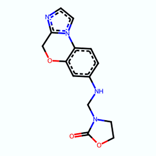 O=C1OCCN1CNc1ccc2c(c1)OCc1nccn1-2